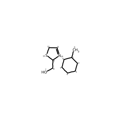 CC1CCCCC1.OCC1N=CCS1